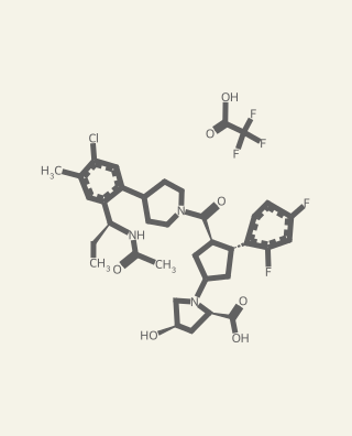 CC[C@H](NC(C)=O)c1cc(C)c(Cl)cc1C1CCN(C(=O)[C@@H]2CC(N3C[C@H](O)C[C@@H]3C(=O)O)C[C@H]2c2ccc(F)cc2F)CC1.O=C(O)C(F)(F)F